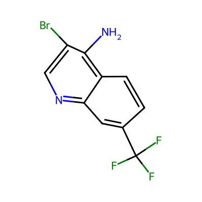 Nc1c(Br)cnc2cc(C(F)(F)F)ccc12